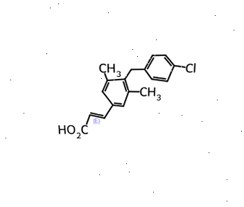 Cc1cc(/C=C/C(=O)O)cc(C)c1Cc1ccc(Cl)cc1